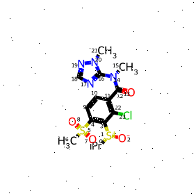 CC(C)[S+]([O-])c1c(S(C)(=O)=O)ccc(C(=O)N(C)c2ncnn2C)c1Cl